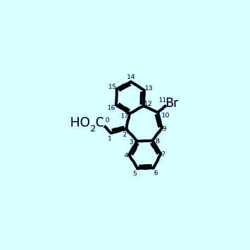 O=C(O)C=C1c2ccccc2C=C(Br)c2ccccc21